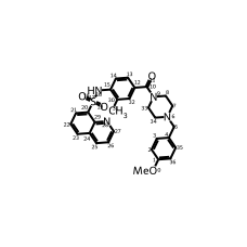 COc1ccc(CN2CCN(C(=O)c3ccc(NS(=O)(=O)c4cccc5cccnc45)c(C)c3)CC2)cc1